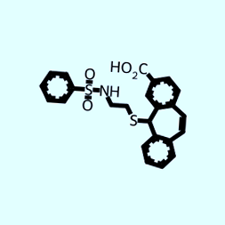 O=C(O)c1ccc2c(c1)C(SCCNS(=O)(=O)c1ccccc1)c1ccccc1C=C2